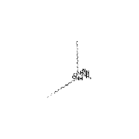 CCCCCCCCC=CCCCCCCCC(=O)NC(CCNC(=[N])N)C(=O)NCCCCCCCCCCCCCCCC